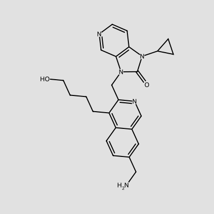 NCc1ccc2c(CCCCO)c(Cn3c(=O)n(C4CC4)c4ccncc43)ncc2c1